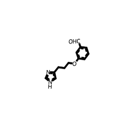 O=Cc1cccc(OCCCc2c[nH]cn2)c1